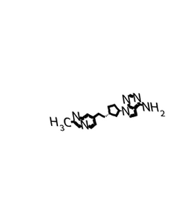 Cc1cn2ccc(CC[C@@H]3CC[C@H](n4ccc5c(N)ncnc54)C3)cc2n1